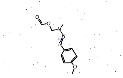 COc1ccc(/N=N/N(C)COC=O)cc1